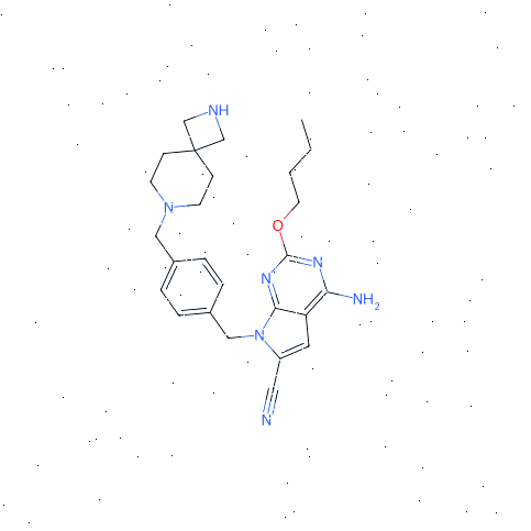 CCCCOc1nc(N)c2cc(C#N)n(Cc3ccc(CN4CCC5(CC4)CNC5)cc3)c2n1